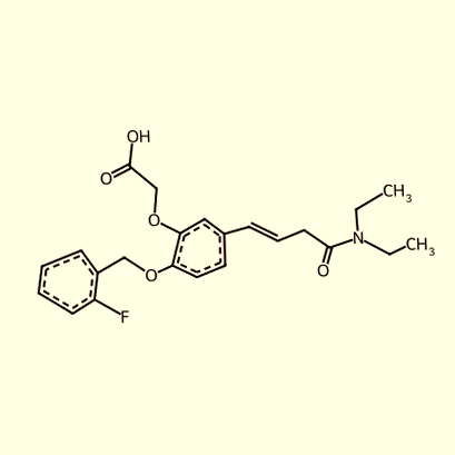 CCN(CC)C(=O)C/C=C/c1ccc(OCc2ccccc2F)c(OCC(=O)O)c1